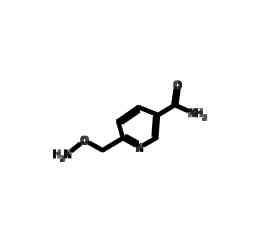 NOCc1ccc(C(N)=O)cn1